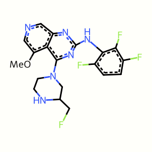 COc1cncc2nc(Nc3c(F)ccc(F)c3F)nc(N3CCNC(CF)C3)c12